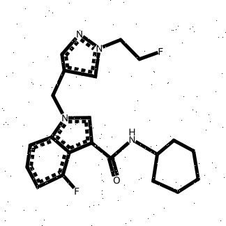 O=C(NC1CCCCC1)c1cn(Cc2cnn(CCF)c2)c2cccc(F)c12